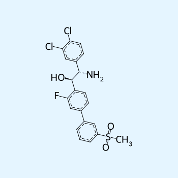 CS(=O)(=O)c1cccc(-c2ccc([C@@H](O)[C@@H](N)c3ccc(Cl)c(Cl)c3)c(F)c2)c1